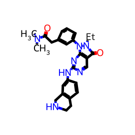 CCn1c(=O)c2cnc(Nc3ccc4c(c3)CNCC4)nc2n1-c1cccc(CC(=O)N(C)C)c1